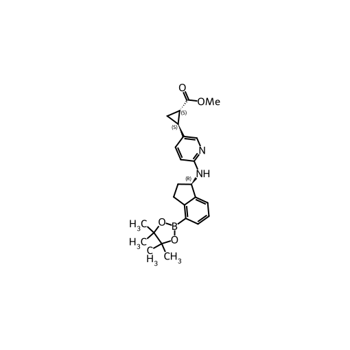 COC(=O)[C@H]1C[C@@H]1c1ccc(N[C@@H]2CCc3c(B4OC(C)(C)C(C)(C)O4)cccc32)nc1